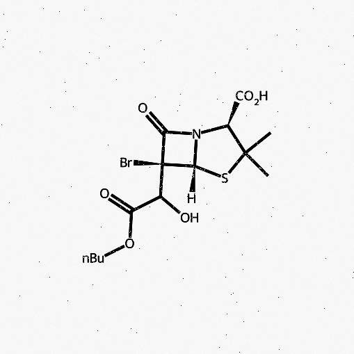 CCCCOC(=O)C(O)[C@]1(Br)C(=O)N2[C@@H](C(=O)O)C(C)(C)S[C@@H]21